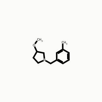 COC1CCN(Cc2cccc(C)c2)C1